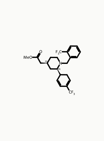 COC(=O)C[C@H]1CCN(Cc2ccccc2C(F)(F)F)[C@@H](C2C=CC(C(F)(F)F)=CC2)C1